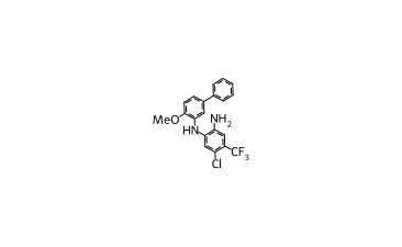 COc1ccc(-c2ccccc2)cc1Nc1cc(Cl)c(C(F)(F)F)cc1N